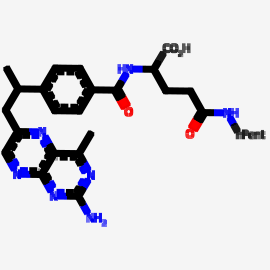 CCCCCNC(=O)CCC(NC(=O)c1ccc(C(C)Cc2cnc3nc(N)nc(C)c3n2)cc1)C(=O)O